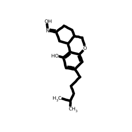 CC(C)CCCc1cc(O)c2c(c1)OCC1CCC(=NO)CC21